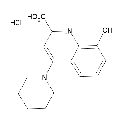 Cl.O=C(O)c1cc(N2CCCCC2)c2cccc(O)c2n1